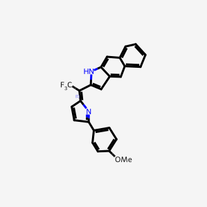 COc1ccc(C2=N/C(=C(\c3cc4cc5ccccc5cc4[nH]3)C(F)(F)F)C=C2)cc1